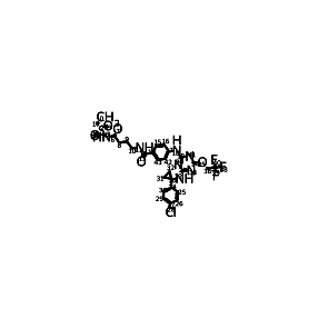 C=CS(=O)(=O)NC(=O)CCCNC(=O)c1ccc(Nc2nc(NC3(c4ccc(Cl)cc4)CC3)nc(OCC(F)(F)F)n2)cc1